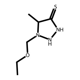 CCOCN1NNC(=S)C1C